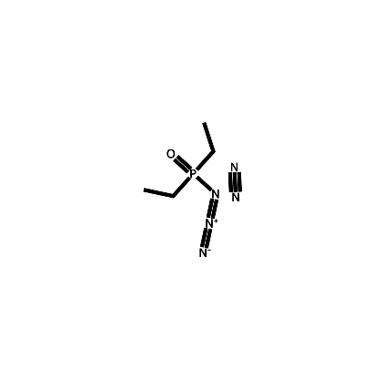 CCP(=O)(CC)N=[N+]=[N-].N#N